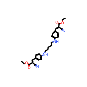 CCOC(=O)/C(C#N)=C/c1ccc(NCCCCCNc2ccc(/C=C(\C#N)C(=O)OCC)cc2)cc1